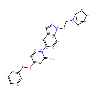 O=c1cc(OCc2ccccc2)ccn1-c1ccc2c(cnn2CCN2CC3CCC2C3)c1